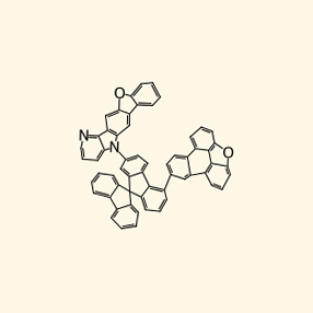 c1ccc2c(c1)-c1ccccc1C21c2cc(-n3c4cc5c(cc4c4ncccc43)oc3ccccc35)ccc2-c2c(-c3ccc4c(c3)c3cccc5oc6cccc4c6c53)cccc21